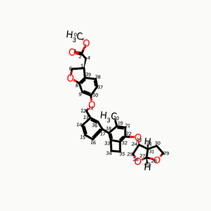 COC(=O)C[C@@H]1COc2cc(OCc3cccc(-c4c(C)cc(O[C@@H]5CO[C@H]6OCC[C@H]65)c5c4CC5)c3)ccc21